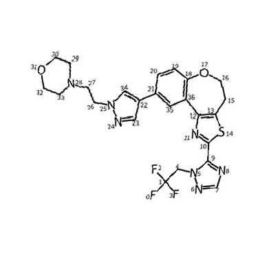 FC(F)(F)Cn1ncnc1-c1nc2c(s1)CCOc1ccc(-c3cnn(CCN4CCOCC4)c3)cc1-2